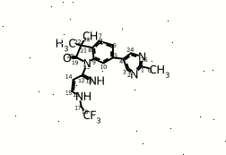 Cc1ncc(-c2ccc3c(c2)N(C(=N)/C=C\NCC(F)(F)F)C(=O)C3(C)C)cn1